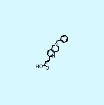 O=C(O)/C=C/c1ccc2c(n1)CCN(Cc1ccccc1)C2